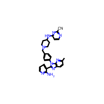 Cc1ccc2nc(-c3cccnc3N)n(-c3ccc(CN4CCC(Nc5ccnc(C#N)n5)CC4)cc3)c2n1